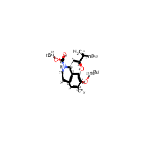 C=C(CCCC)C(=O)C[C@@H]1c2cc(OCCCC)c(C(F)(F)F)cc2CCN1C(=O)OC(C)(C)C